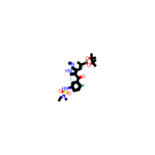 C=Nc1[nH]cc(C(=O)c2c(F)ccc(NS(=O)(=O)N(C)CC)c2F)c1/C=C(\C)B1OC(C)(C)C(C)(C)O1